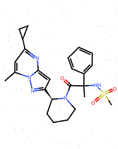 Cc1cc(C2CC2)nc2cc([C@@H]3CCCCN3C(=O)C(C)(NS(C)(=O)=O)c3ccccc3)nn12